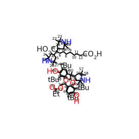 CC1(C)CC(C(CCCCCCCC(=O)O)(C(=O)O)C2CC(C)(C)NC(C)(C)C2)CC(C)(C)N1.CCC(=O)OCC(OC(=O)C(C)(c1cc(C(C)(C)C)c(O)c(C(C)(C)C)c1)C1CC(C)(C)NC(C)(C)C1)c1cc(C(C)(C)C)c(O)c(C(C)(C)C)c1